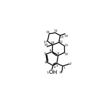 CC(C)c1c(O)ccc2c1CCC1C(C)CCCC21C